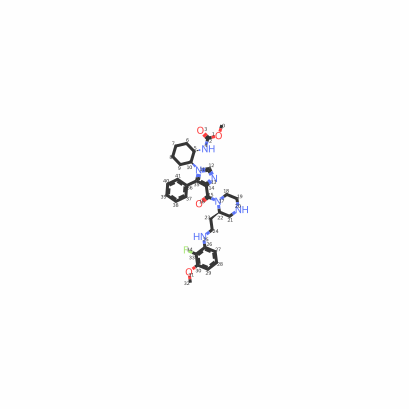 COC(=O)N[C@H]1CCCC[C@@H]1n1cnc(C(=O)N2CCNC[C@H]2CCNc2cccc(OC)c2F)c1-c1ccccc1